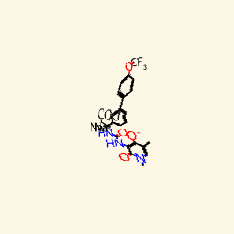 Cc1cn(C)c(=O)c(NC(=O)N[C@@H](CC(=O)[O-])c2cccc(-c3ccc(OC(F)(F)F)cc3)c2)c1[O-].[Na+].[Na+]